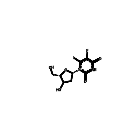 O=c1[nH]c(=O)n([C@@H]2CC(O)[C@H](CO)O2)c(I)c1F